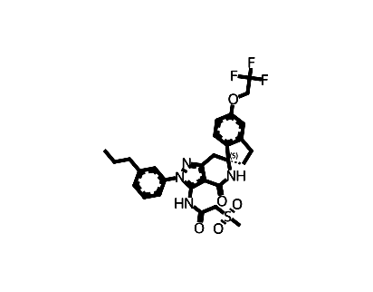 CCCc1cccc(-n2nc3c(c2NC(=O)CS(C)(=O)=O)C(=O)N[C@@]2(CCc4cc(OCC(F)(F)F)ccc42)C3)c1